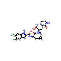 NC(=O)C(C[C@@H]1CCCNC1=O)NC(=O)C(CC1CC1)NC(=O)c1cc2cc(F)c(Cl)cc2[nH]1